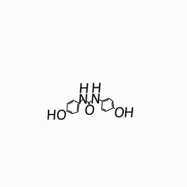 O=C(Nc1ccc(O)cc1)Nc1ccc(O)cc1